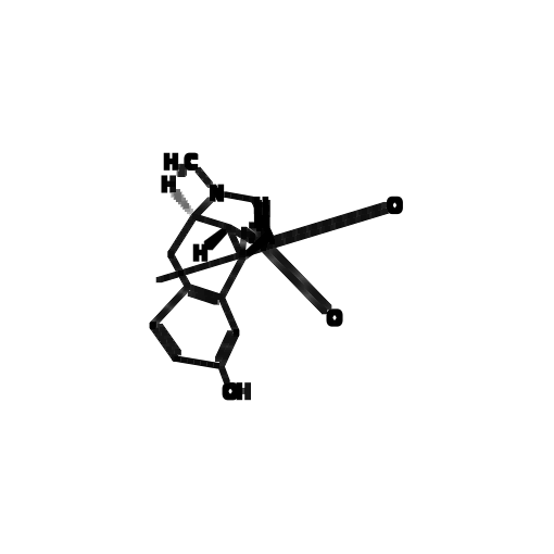 CN1CC[C@]23CC(=O)NC(=O)NCCC[C@H]2[C@H]1Cc1ccc(O)cc13